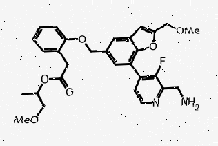 COCc1cc2cc(COc3ccccc3CC(=O)OC(C)COC)cc(-c3ccnc(CN)c3F)c2o1